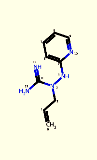 C=CCN(Nc1ccccn1)C(=N)N